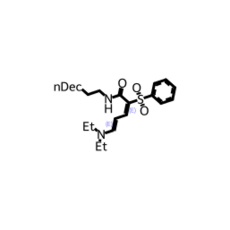 CCCCCCCCCCCCNC(=O)/C(=C\C=C\N(CC)CC)S(=O)(=O)c1ccccc1